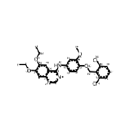 CCOc1cc2ncnc(Nc3ccc(OCc4c(Cl)cccc4Cl)c(OC)c3)c2cc1OCC